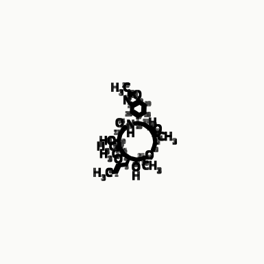 CC=CC[C@H]1C(=O)C(C)(C)[C@@H](O)CC(=O)N[C@H](c2ccc3oc(C)nc3c2)C[C@@H]2O[C@]2(C)CCO[C@H](C)[C@H]1O